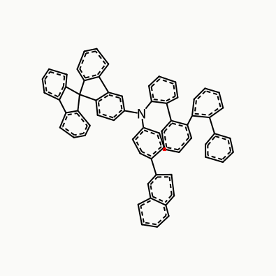 c1ccc(-c2ccccc2-c2ccccc2-c2ccccc2N(c2ccc(-c3ccc4ccccc4c3)cc2)c2ccc3c(c2)-c2ccccc2C32c3ccccc3-c3ccccc32)cc1